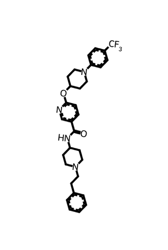 O=C(NC1CCN(CCc2ccccc2)CC1)c1ccc(OC2CCN(c3ccc(C(F)(F)F)cc3)CC2)nc1